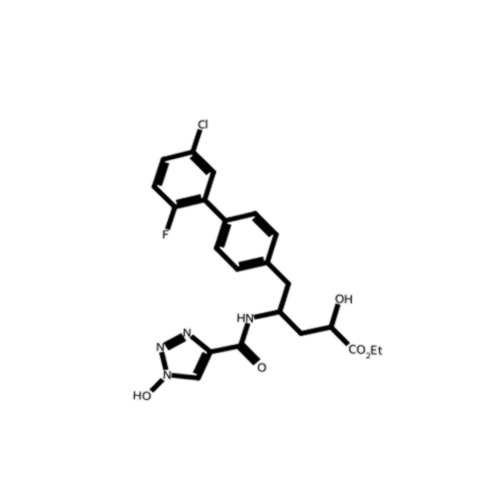 CCOC(=O)C(O)CC(Cc1ccc(-c2cc(Cl)ccc2F)cc1)NC(=O)c1cn(O)nn1